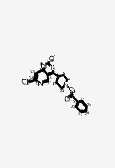 O=C(ON1CCC(c2nc(Cl)nc3cc(Cl)ncc23)CC1)c1ccccc1